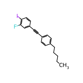 CCCCCc1ccc(C#Cc2ccc(I)c(F)c2)cc1